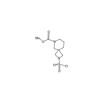 CC(C)(C)OC(=O)N1CCCC2(C1)CN(S(=O)(=O)Cl)C2